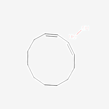 C1=CCCCCCCCCC=C1.OO